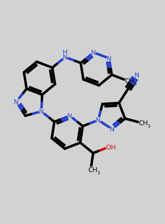 Cc1ccc(Nc2ccc3ncn(-c4ccc(C(C)O)c(-n5cc(C#N)c(C)n5)n4)c3c2)nn1